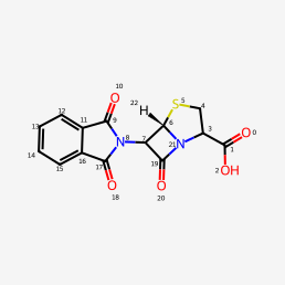 O=C(O)C1CS[C@H]2C(N3C(=O)c4ccccc4C3=O)C(=O)N12